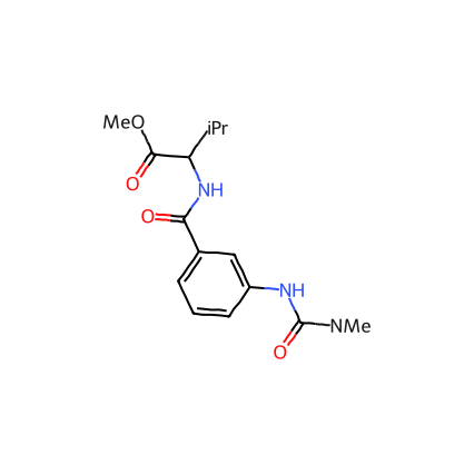 CNC(=O)Nc1cccc(C(=O)NC(C(=O)OC)C(C)C)c1